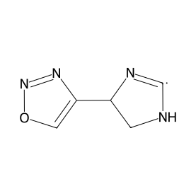 [C]1=NC(c2conn2)CN1